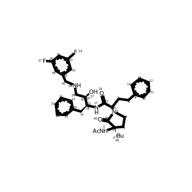 CC[C@@H](C)C1(NC(C)=O)CCN(C(CCc2ccccc2)C(=O)N[C@@H](Cc2ccccc2)[C@H](O)CNCc2cc(F)cc(F)c2)C1=O